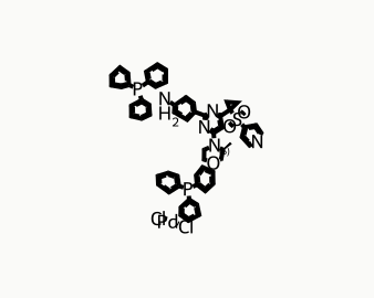 C[C@H]1COCCN1c1cc(C2(S(=O)(=O)c3ccncc3)CC2)nc(-c2ccc(N)cc2)n1.[Cl][Pd][Cl].c1ccc(P(c2ccccc2)c2ccccc2)cc1.c1ccc(P(c2ccccc2)c2ccccc2)cc1